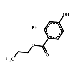 CCCOC(=O)c1ccc(O)cc1.[KH]